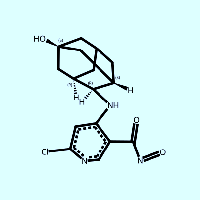 O=NC(=O)c1cnc(Cl)cc1N[C@H]1[C@@H]2CC3C[C@H]1C[C@@](O)(C3)C2